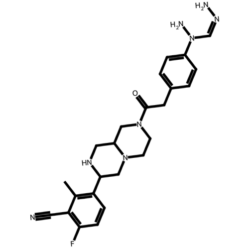 Cc1c(C2CN3CCN(C(=O)Cc4ccc(N(N)/C=N\N)cc4)CC3CN2)ccc(F)c1C#N